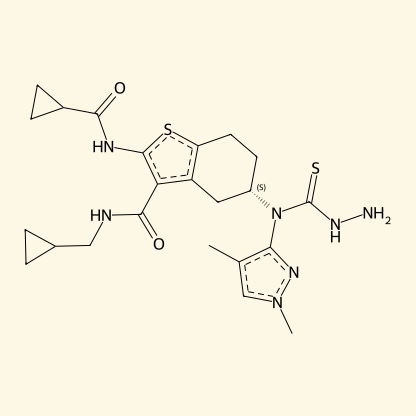 Cc1cn(C)nc1N(C(=S)NN)[C@H]1CCc2sc(NC(=O)C3CC3)c(C(=O)NCC3CC3)c2C1